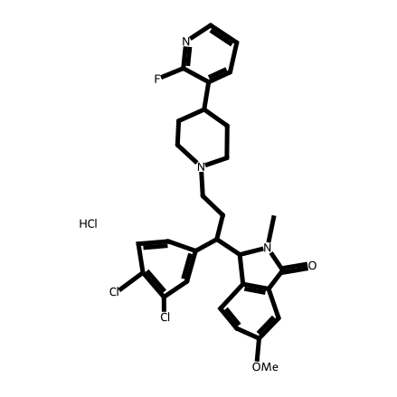 COc1ccc2c(c1)C(=O)N(C)C2C(CCN1CCC(c2cccnc2F)CC1)c1ccc(Cl)c(Cl)c1.Cl